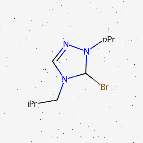 CCCN1N=CN(CC(C)C)C1Br